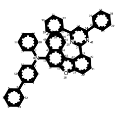 c1ccc(-c2ccc(N(c3ccccc3)c3cc4oc5cccc(-c6nc(-c7ccccc7)cc(-c7ccccc7)n6)c5c4c4ccccc34)cc2)cc1